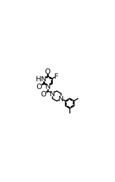 Cc1cc(C)cc(N2CCN(C(=O)n3cc(F)c(=O)[nH]c3=O)CC2)c1